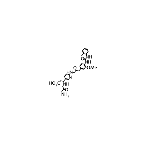 COc1cc(CC(=O)CNc2ccc(C(CC(=O)O)NCC(=O)CN)cn2)ccc1NC(=O)Nc1ccccc1C